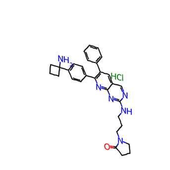 Cl.NC1(c2ccc(-c3nc4nc(NCCCN5CCCC5=O)ncc4cc3-c3ccccc3)cc2)CCC1